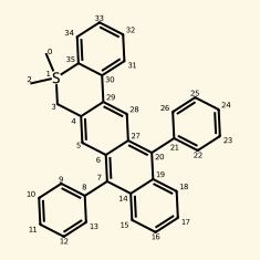 CS1(C)Cc2cc3c(-c4ccccc4)c4ccccc4c(-c4ccccc4)c3cc2-c2ccccc21